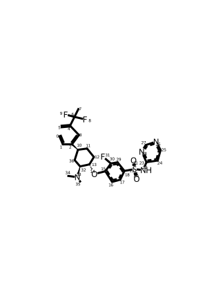 C=C/C(=C\C(=C)C(C)(F)F)[C@H]1CC[C@H](Oc2ccc(S(=O)(=O)Nc3ccncn3)cc2F)[C@@H](N(C)C)C1